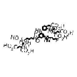 O=C(O)CC[C@H](NC(=O)N[C@@H](CCCCNC(=O)c1cc(Nc2ccc(C[C@H](NC(=O)N[C@@H](CCC(=O)O)C(=O)O)C(=O)O)cc2)cc(-n2cc(CCCF)nn2)c1)C(=O)O)C(=O)O